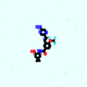 Nc1cnc(/C(F)=C/c2cc(C(=O)N[C@H]3CC4(CC4)C[C@@H]3O)ccc2OC(F)F)cn1